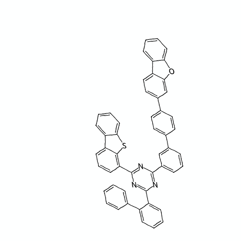 c1ccc(-c2ccccc2-c2nc(-c3cccc(-c4ccc(-c5ccc6c(c5)oc5ccccc56)cc4)c3)nc(-c3cccc4c3sc3ccccc34)n2)cc1